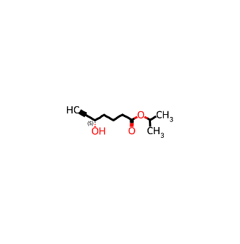 C#C[C@@H](O)CCCC(=O)OC(C)C